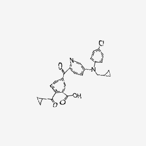 O=C(c1ccc(C(=O)C2CC2)c(C(=O)O)c1)c1ccc(N(CC2CC2)c2ccc(Cl)cc2)cn1